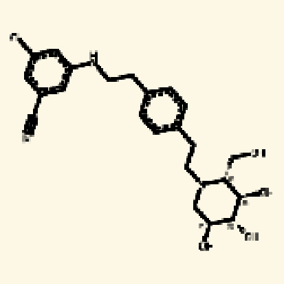 N#Cc1cc(Cl)cc(NCCc2ccc(CCN3C[C@H](O)[C@@H](O)[C@H](O)[C@H]3CO)cc2)c1